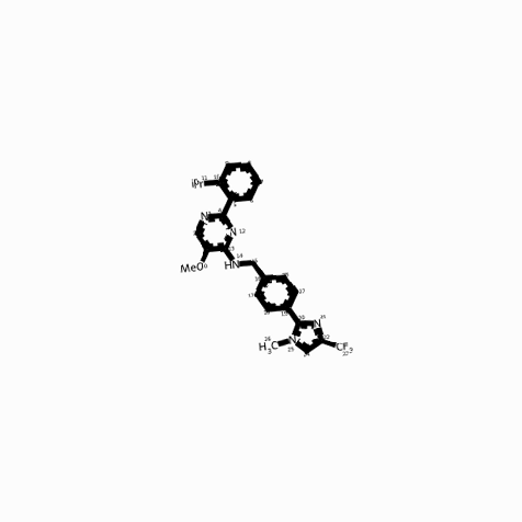 COc1cnc(-c2ccccc2C(C)C)nc1NCc1ccc(-c2nc(C(F)(F)F)cn2C)cc1